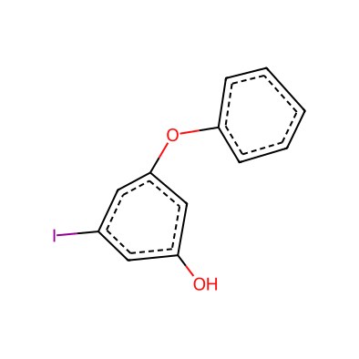 Oc1cc(I)cc(Oc2ccccc2)c1